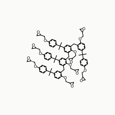 CC(C)(c1ccc(OCC2CO2)cc1)c1ccc(OCC2CO2)c(Cc2cc(C(C)(C)c3ccc(OCC4CO4)cc3)cc(Cc3cc(C(C)(C)c4ccc(OCC5CO5)cc4)cc(Cc4cc(C(C)(C)c5ccc(OC[C@H]6CO6)cc5)ccc4OCC4CO4)c3OCC3CO3)c2OCC2CO2)c1